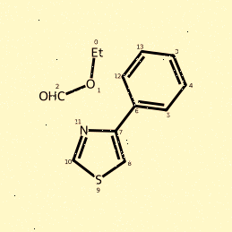 CCOC=O.c1ccc(-c2cscn2)cc1